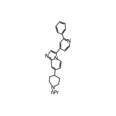 CCCN1CCC(c2ccn3c(-c4ccnc(-c5ccccc5)c4)cnc3c2)CC1